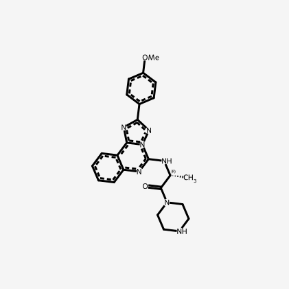 COc1ccc(-c2nc3c4ccccc4nc(N[C@H](C)C(=O)N4CCNCC4)n3n2)cc1